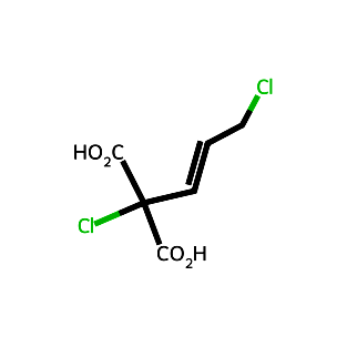 O=C(O)C(Cl)(C=CCCl)C(=O)O